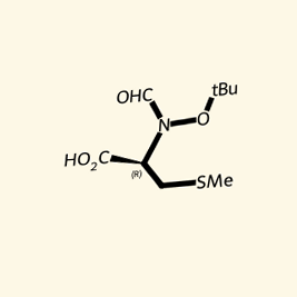 CSC[C@@H](C(=O)O)N(C=O)OC(C)(C)C